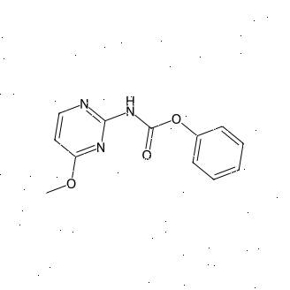 COc1ccnc(NC(=O)Oc2ccccc2)n1